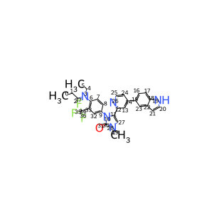 CCCN(CC)c1ccc(-n2c(-c3cc(-c4ccc5[nH]ccc5c4)ccn3)cn(C)c2=O)cc1C(F)(F)F